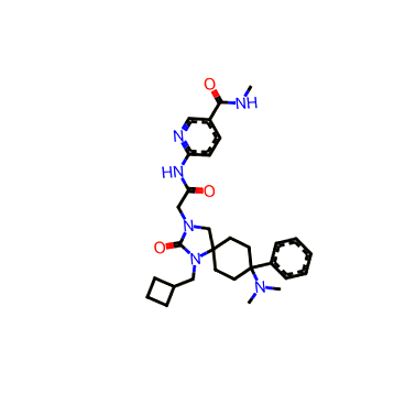 CNC(=O)c1ccc(NC(=O)CN2CC3(CCC(c4ccccc4)(N(C)C)CC3)N(CC3CCC3)C2=O)nc1